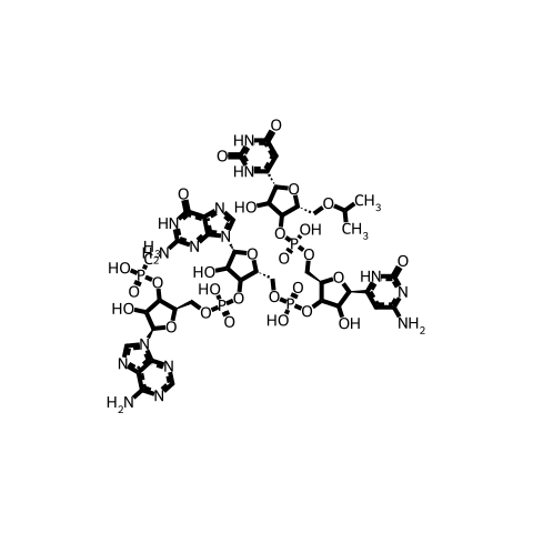 CC(C)OC[C@H]1O[C@@H](c2cc(=O)[nH]c(=O)[nH]2)C(O)C1OP(=O)(O)OC[C@H]1O[C@@H](c2cc(N)nc(=O)[nH]2)C(O)C1OP(=O)(O)OC[C@H]1O[C@@H](n2cnc3c(=O)[nH]c(N)nc32)C(O)C1OP(=O)(O)OC[C@H]1O[C@@H](n2cnc3c(N)ncnc32)C(O)C1OP(C)(=O)O